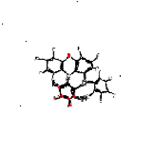 Fc1c(F)c(F)c(B(c2c(F)c(F)c(F)c(F)c2F)c2c(F)c(F)c(F)c(F)c2B(c2c(F)c(F)c(F)c(F)c2F)c2c(F)c(F)c(F)c(F)c2F)c(F)c1F